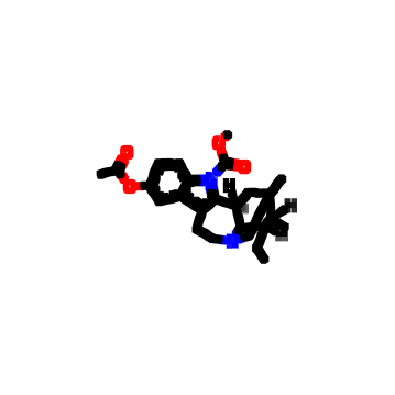 CC[C@@H]1C2[C@H]3CC(C)(CN2CCc2c3n(C(=O)OC)c3ccc(OC(C)=O)cc23)[C@@H]1C